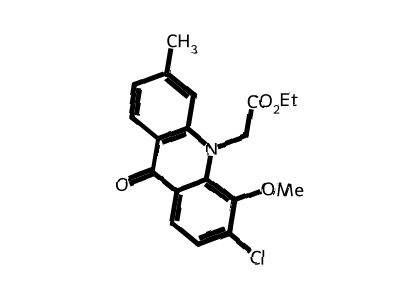 CCOC(=O)Cn1c2cc(C)ccc2c(=O)c2ccc(Cl)c(OC)c21